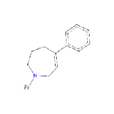 CC(C)N1CC=C(c2ccccc2)CCC1